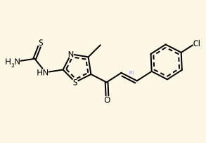 Cc1nc(NC(N)=S)sc1C(=O)/C=C/c1ccc(Cl)cc1